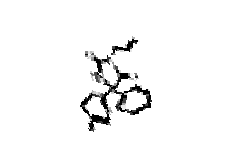 C=CCN1C(=O)N[C@@](c2ccccc2)(c2ccc(C)cc2)C1=O